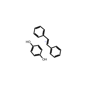 C(=C\c1ccccc1)/c1ccccc1.Oc1ccc(O)cc1